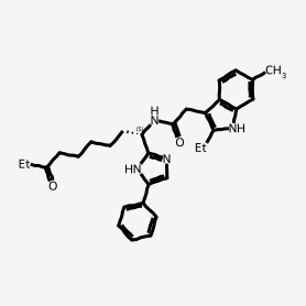 CCC(=O)CCCCC[C@H](NC(=O)Cc1c(CC)[nH]c2cc(C)ccc12)c1ncc(-c2ccccc2)[nH]1